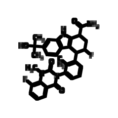 Cc1c(C2c3c([nH]c4cc(C(C)(C)O)ccc34)C(C(N)=O)CC2F)cccc1-n1c(=O)c2cccc(F)c2n(C)c1=O